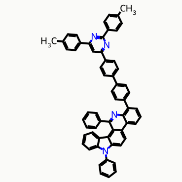 Cc1ccc(-c2cc(-c3ccc(-c4ccc(-c5cccc6c5nc(-c5ccccc5)c5c6ccc6c5c5ccccc5n6-c5ccccc5)cc4)cc3)nc(-c3ccc(C)cc3)n2)cc1